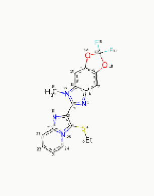 CCSc1c(-c2nc3cc4c(cc3n2C)OC(F)(F)O4)nc2ccccn12